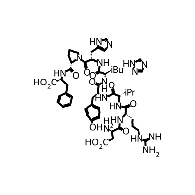 CC[C@H](C)[C@H](NC(=O)[C@H](Cc1ccc(O)cc1)NC(=O)[C@@H](NC(=O)[C@H](CCCNC(=N)N)NC(=O)[C@@H](N)CC(=O)O)C(C)C)C(=O)N[C@@H](Cc1cnc[nH]1)C(=O)N1CCC[C@H]1C(=O)N[C@@H](Cc1ccccc1)C(=O)O.c1nc[nH]n1